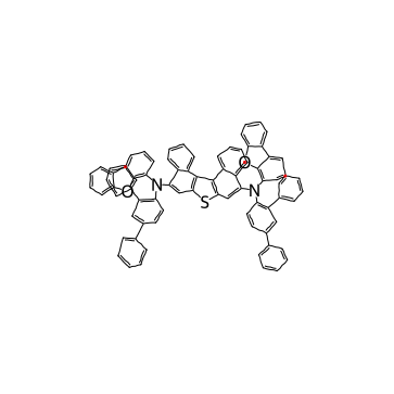 c1ccc(-c2ccc(N(c3cc4sc5cc(N(c6ccc(-c7ccccc7)cc6-c6ccccc6)c6cccc7c6oc6ccccc67)c6ccccc6c5c4c4ccccc34)c3cccc4c3oc3ccccc34)c(-c3ccccc3)c2)cc1